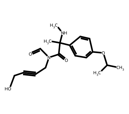 CNC(C)(C(=O)N(C=O)CC#CCO)c1ccc(OC(C)C)cc1